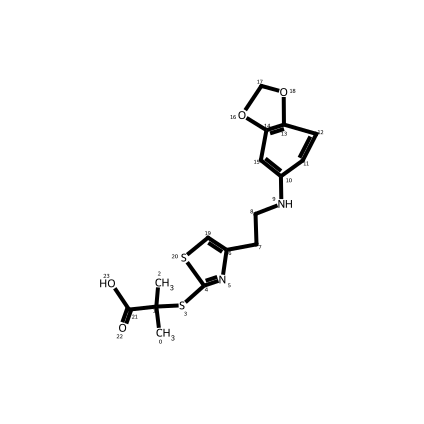 CC(C)(Sc1nc(CCNc2ccc3c(c2)OCO3)cs1)C(=O)O